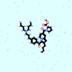 CCCCc1cc2cc(C(=O)N3CCC[C@H]3C(=O)OC)ccn2c1C(=O)c1ccc(CCCN(CCCC)CCCC)cc1